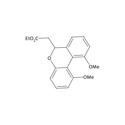 CCOC(=O)CC1Oc2cccc(OC)c2-c2c(OC)cccc21